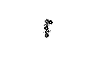 O=C(Nc1ccc(Nc2nc3ccccc3n3nnnc23)cc1)C1CCOCC1